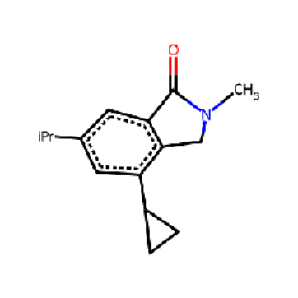 CC(C)c1cc2c(c(C3CC3)c1)CN(C)C2=O